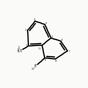 [CH2]Cc1cccc2cccc(F)c12